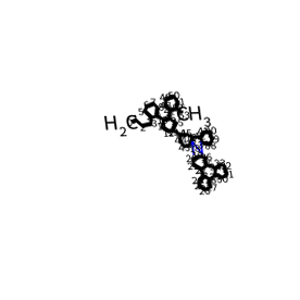 C=C/C=C\c1ccccc1-c1ccc(C2=Cc3c(n(-c4ccc5c6ccccc6c6ccccc6c5c4)c4ccccc34)CC2)cc1-c1ccccc1C